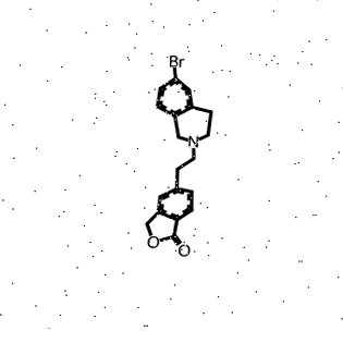 O=C1OCc2cc(CCN3CCc4cc(Br)ccc4C3)ccc21